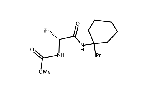 COC(=O)N[C@@H](C(=O)NC1(C(C)C)CCCCC1)C(C)C